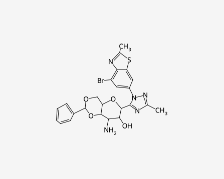 Cc1nc(C2OC3COC(c4ccccc4)OC3C(N)C2O)n(-c2cc(Br)c3nc(C)sc3c2)n1